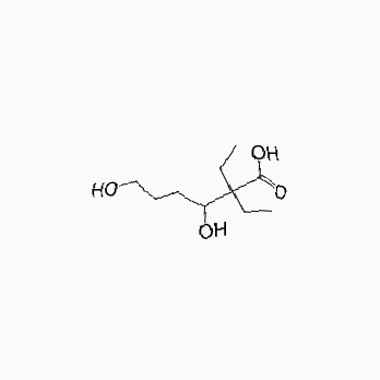 CCC(CC)(C(=O)O)C(O)CCCO